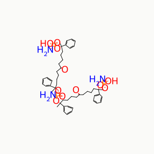 CC(CCCCC(=O)CCCCC(C)(OP(N)(=O)OC(C)(CCCCC(=O)CCCCC(C)(OP(N)(=O)O)c1ccccc1)c1ccccc1)c1ccccc1)(OP(N)(=O)O)c1ccccc1